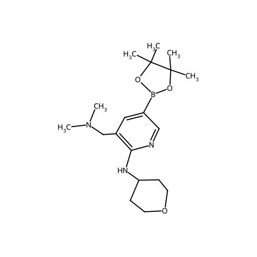 CN(C)Cc1cc(B2OC(C)(C)C(C)(C)O2)cnc1NC1CCOCC1